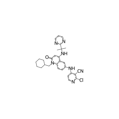 CC(C)(Nc1cc(=O)n(CC2CCCCC2)c2ccc(Nc3ccnc(Cl)c3C#N)cc12)c1ncccn1